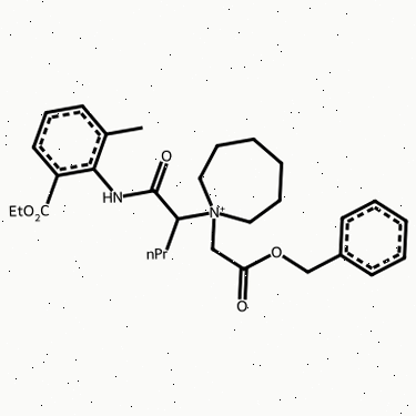 CCCC(C(=O)Nc1c(C)cccc1C(=O)OCC)[N+]1(CC(=O)OCc2ccccc2)CCCCCC1